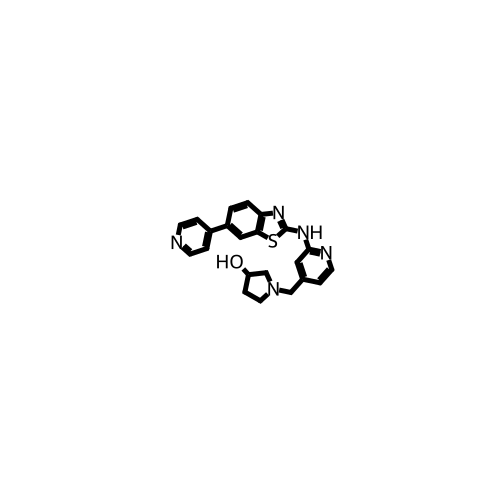 OC1CCN(Cc2ccnc(Nc3nc4ccc(-c5ccncc5)cc4s3)c2)C1